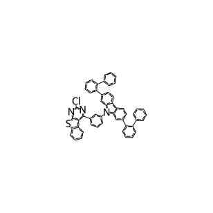 Clc1nc(-c2cccc(-n3c4cc(-c5ccccc5-c5ccccc5)ccc4c4ccc(-c5ccccc5-c5ccccc5)cc43)c2)c2c(n1)sc1ccccc12